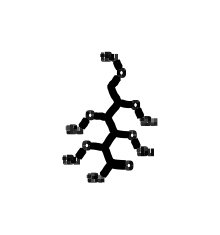 CC(C)(C)OCC(OC(C)(C)C)C(OC(C)(C)C)C(OC(C)(C)C)C(OC(C)(C)C)C(=O)C(C)(C)C